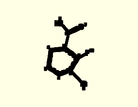 CCc1cccc(C(=O)S)c1F